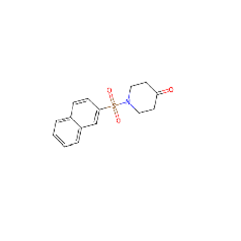 O=C1CCN(S(=O)(=O)c2ccc3ccccc3c2)CC1